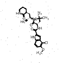 C#C[C@H](C[C@@H]1CCCNC1=O)NC(=O)[C@H](CC(C)(C)C)NC(=O)c1cc2c(Cl)c(OC)ccc2[nH]1